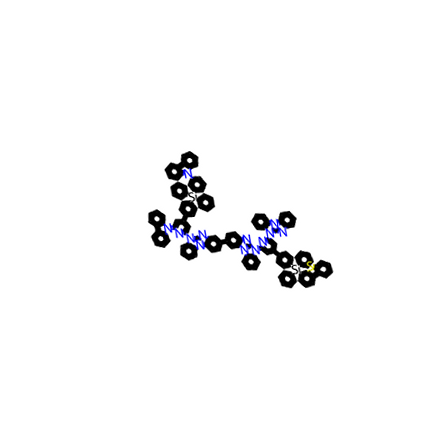 c1ccc([Si](c2ccccc2)(c2ccc(-c3cc(-n4c5ccccc5c5ccccc54)nc(-n4c5ccccc5n5c6ccc(-c7ccc8nc9n(-c%10cc(-c%11ccc([Si](c%12ccccc%12)(c%12ccccc%12)c%12cccc%13c%12sc%12ccccc%12%13)cc%11)cc(-n%11c%12ccccc%12n%12c%13ccccc%13nc%11%12)n%10)c%10ccccc%10n9c8c7)cc6nc45)c3)cc2)c2cccc(-n3c4ccccc4c4ccccc43)c2)cc1